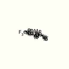 COc1cc(-c2cnn3cc(OCCN4CCOCC4)cnc23)cc2c1C(=O)N(CC(F)(F)F)CC2